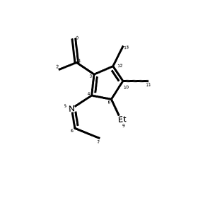 C=C(C)C1=C(/N=C\C)C(CC)C(C)=C1C